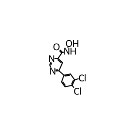 O=C(NO)c1cc(-c2ccc(Cl)c(Cl)c2)ncn1